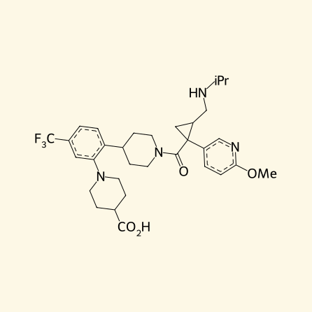 COc1ccc(C2(C(=O)N3CCC(c4ccc(C(F)(F)F)cc4N4CCC(C(=O)O)CC4)CC3)CC2CNC(C)C)cn1